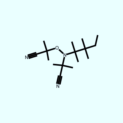 CCC(C)(C)C(C)(C)N(OC(C)(C)C#N)C(C)(C)C#N